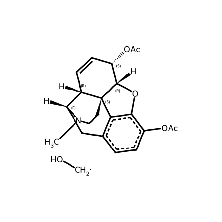 CC(=O)Oc1ccc2c3c1O[C@H]1[C@@H](OC(C)=O)C=C[C@H]4[C@@H](C2)N(C)CC[C@@]341.[CH2]O